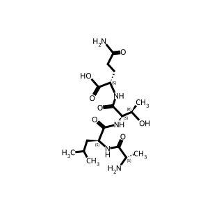 CC(C)C[C@H](NC(=O)[C@H](C)N)C(=O)N[C@H](C(=O)N[C@@H](CCC(N)=O)C(=O)O)[C@@H](C)O